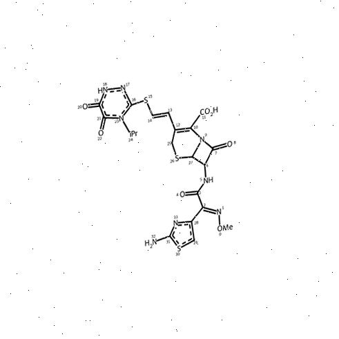 CON=C(C(=O)NC1C(=O)N2C(C(=O)O)=C(C=CSc3n[nH]c(=O)c(=O)n3C(C)C)CSC12)c1csc(N)n1